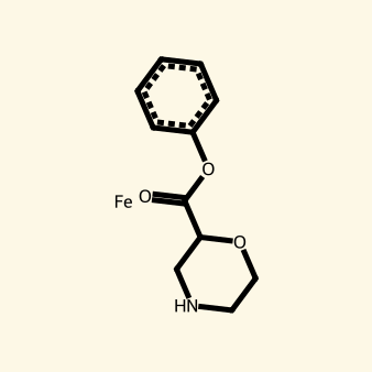 O=C(Oc1ccccc1)C1CNCCO1.[Fe]